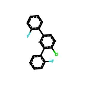 Fc1ccccc1-c1[c]c(-c2ccccc2F)c(Cl)cc1